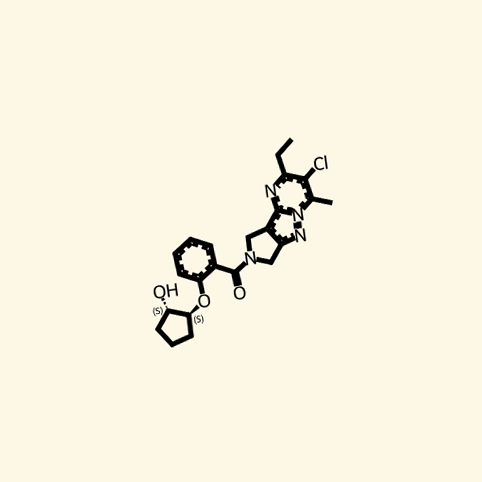 CCc1nc2c3c(nn2c(C)c1Cl)CN(C(=O)c1ccccc1O[C@H]1CCC[C@@H]1O)C3